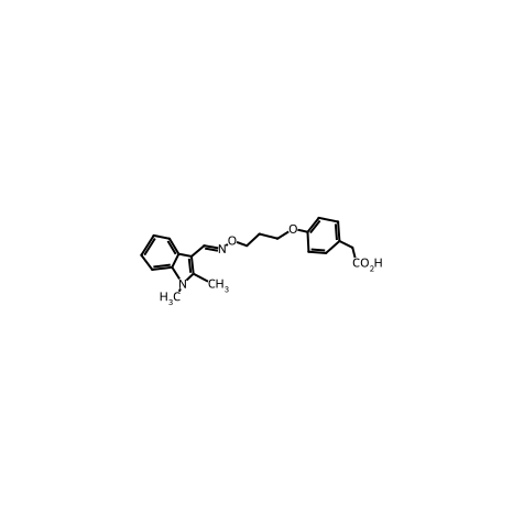 Cc1c(C=NOCCCOc2ccc(CC(=O)O)cc2)c2ccccc2n1C